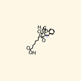 COc1ccccc1/C=C1\NC(=O)N(CCCCCCC(=O)O)C1=O